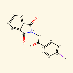 O=C(CN1C(=O)c2ccccc2C1=O)c1ccc(I)cc1